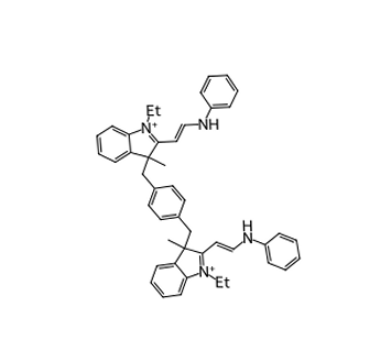 CC[N+]1=C(C=CNc2ccccc2)C(C)(Cc2ccc(CC3(C)C(C=CNc4ccccc4)=[N+](CC)c4ccccc43)cc2)c2ccccc21